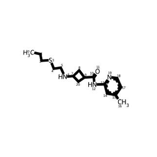 CCCSCCNC1CC(C(=O)Nc2cc(C)ccn2)C1